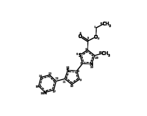 CCOC(=O)c1sc(-c2ccc(-c3cccnc3)s2)nc1C